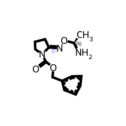 C[C@@H](N)O/N=C1\CCCN1C(=O)OCc1ccccc1